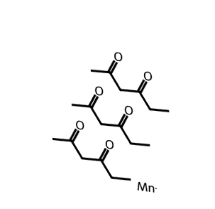 CCC(=O)CC(C)=O.CCC(=O)CC(C)=O.CCC(=O)CC(C)=O.[Mn]